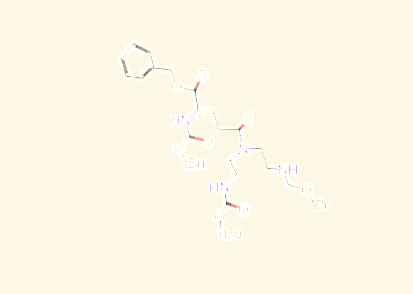 CC(C)OCNCCN(CCNC(=O)OC(C)(C)C)C(=O)CC[C@H](NC(=O)OC(C)(C)C)C(=O)OCc1ccccc1